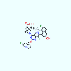 CCc1c(F)ccc2cc(O)cc(-c3ncc4c(N5C[C@H]6C[C@H](C(=O)O)[C@H]6C5)nc(OC[C@@]56CCCN5C[C@H](F)C6)nc4c3F)c12